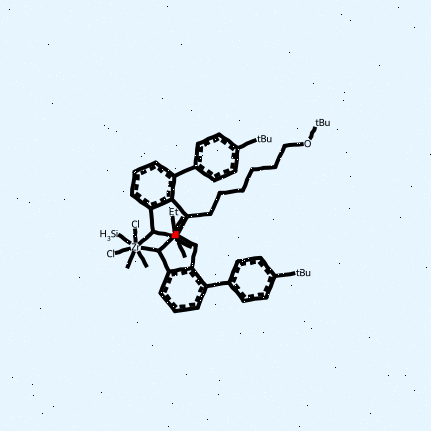 CCC1=Cc2c(-c3ccc(C(C)(C)C)cc3)cccc2[CH]1[Zr]([CH3])([CH3])([SiH3])([Cl])([Cl])[CH]1C(C)=C(CCCCCCOC(C)(C)C)c2c(-c3ccc(C(C)(C)C)cc3)cccc21